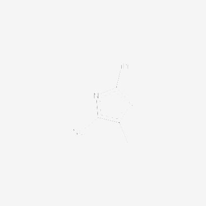 Cc1sc(C(C)C)nc1C#N